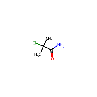 CC(C)(Cl)C(N)=O